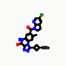 COC1CC(c2nnc3c(=O)[nH]c4cc(C(=O)N5CCc6cc(Br)cnc65)c(C)cc4n23)C1